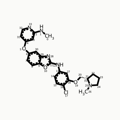 CNc1cc(Oc2ccc3oc(Nc4ccc(Cl)c(OC[C@@H]5CCCN5C)c4)nc3c2)ccn1